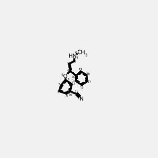 CNCC=C(Oc1cccc(C#N)c1)c1ccccc1